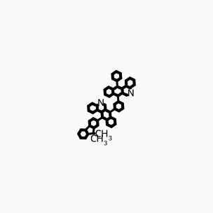 CC1(C)c2ccccc2-c2ccc(-c3c4ccccc4c(-c4cccc(-c5c6ccccc6c(-c6ccccc6)c6c5cnc5ccccc56)c4)c4cnc5ccccc5c34)cc21